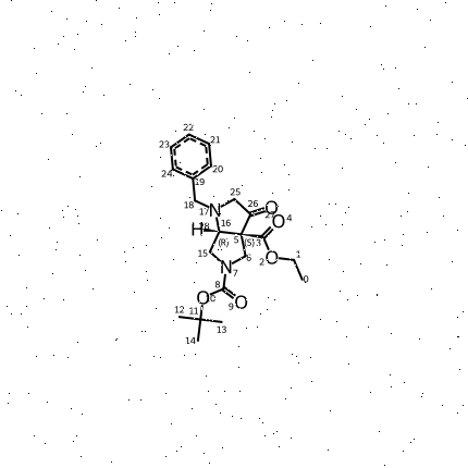 CCOC(=O)[C@@]12CN(C(=O)OC(C)(C)C)C[C@@H]1N(Cc1ccccc1)CC2=O